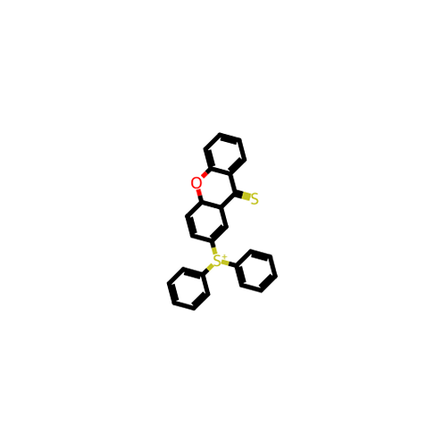 S=C1c2ccccc2OC2C=CC([S+](c3ccccc3)c3ccccc3)=CC12